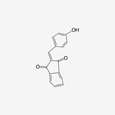 O=C1C(=Cc2ccc(O)cc2)C(=O)c2ccccc21